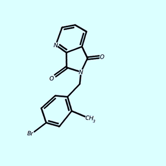 Cc1cc(Br)ccc1CN1C(=O)c2cccnc2C1=O